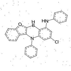 Clc1cc(Nc2ccccc2)c2c(c1)N(c1ccccc1)c1c(oc3ccccc13)B2